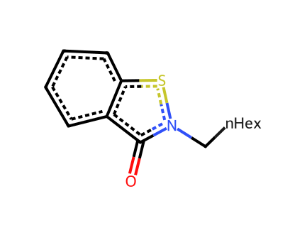 CCCCCCCn1sc2ccccc2c1=O